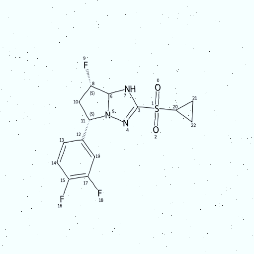 O=S(=O)(C1=NN2C(N1)[C@@H](F)C[C@H]2c1ccc(F)c(F)c1)C1CC1